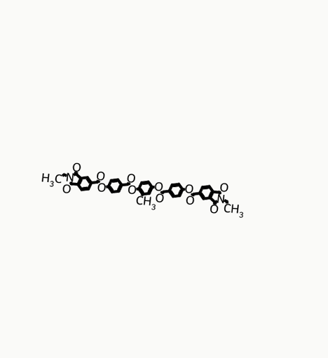 CCN1C(=O)c2ccc(C(=O)Oc3ccc(C(=O)Oc4ccc(OC(=O)c5ccc(OC(=O)c6ccc7c(c6)C(=O)N(CC)C7=O)cc5)c(C)c4)cc3)cc2C1=O